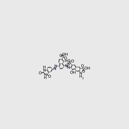 Nc1cc2c(O)c(/N=N/c3ccc(/N=N/c4ccc5[nH]c(=O)[nH]c(=O)c5c4)c4ccc(S(=O)(=O)O)cc34)c(S(=O)(=O)O)cc2cc1S(=O)(=O)O